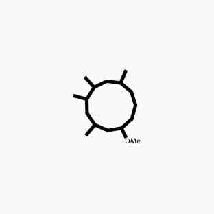 COC1CCCC(C)CC(C)C(C)CC(C)C1